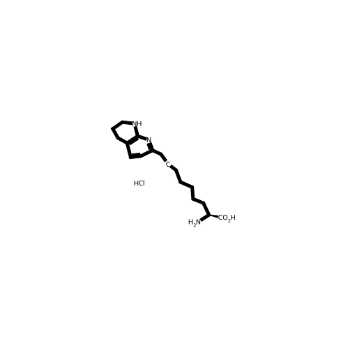 Cl.N[C@@H](CCCCCCCc1ccc2c(n1)NCCC2)C(=O)O